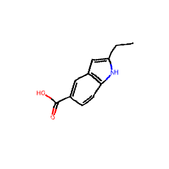 CCc1cc2cc(C(=O)O)ccc2[nH]1